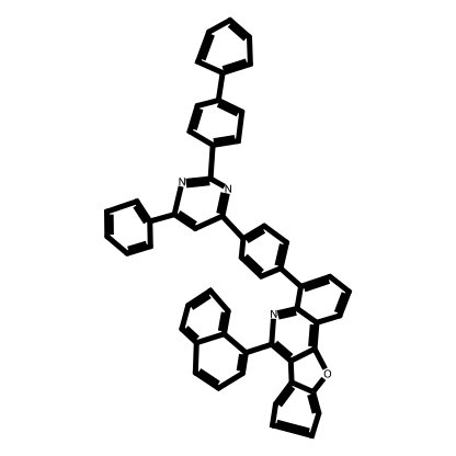 c1ccc(-c2ccc(-c3nc(-c4ccccc4)cc(-c4ccc(-c5cccc6c5nc(-c5cccc7ccccc57)c5c7ccccc7oc65)cc4)n3)cc2)cc1